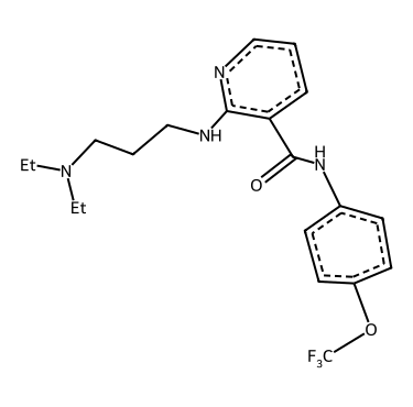 CCN(CC)CCCNc1ncccc1C(=O)Nc1ccc(OC(F)(F)F)cc1